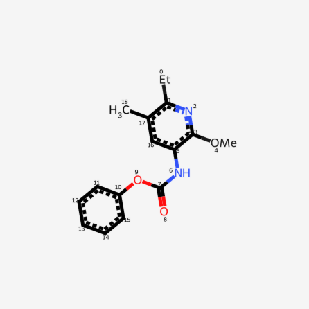 CCc1nc(OC)c(NC(=O)Oc2ccccc2)cc1C